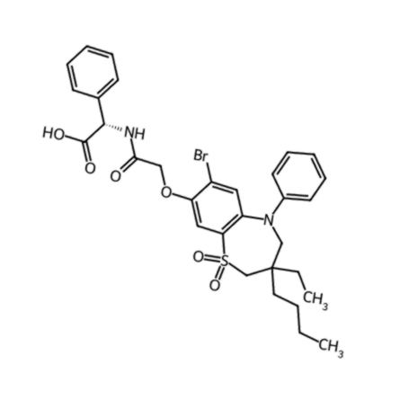 CCCCC1(CC)CN(c2ccccc2)c2cc(Br)c(OCC(=O)N[C@H](C(=O)O)c3ccccc3)cc2S(=O)(=O)C1